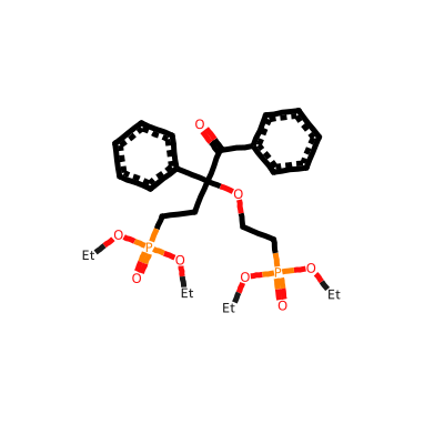 CCOP(=O)(CCOC(CCP(=O)(OCC)OCC)(C(=O)c1ccccc1)c1ccccc1)OCC